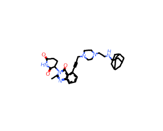 Cc1nc2cccc(C#CCN3CCN(CCNC45CC6CC(CC(C6)C4)C5)CC3)c2c(=O)n1C1CCC(=O)NC1=O